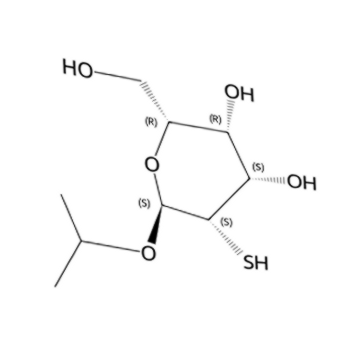 CC(C)O[C@H]1O[C@H](CO)[C@H](O)[C@H](O)[C@@H]1S